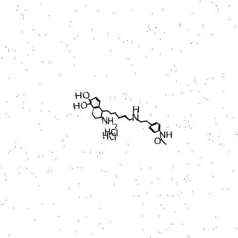 CC(=O)Nc1ccc(CCNCCCCCCC2c3ccc(O)c(O)c3CCC2N)cc1.Cl.Cl